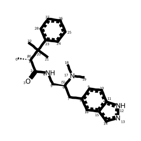 C[C@@H](C(=O)NC[C@H](Cc1ccc2[nH]ncc2c1)N(C)C)C(C)(C)c1ccccc1